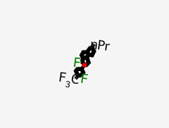 CCCc1ccc2c(ccc3c(F)c(-c4ccc(C(F)(F)F)c(F)c4)ccc32)c1